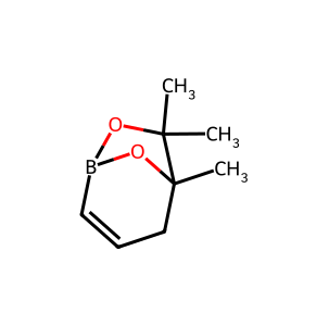 CC1(C)OB2C=CCC1(C)O2